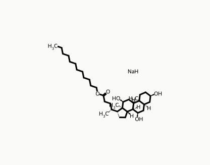 CCCCCCCCCCCCOC(=O)CC[C@@H](C)[C@H]1CC[C@H]2[C@@H]3[C@H](O)C[C@@H]4C[C@H](O)CC[C@]4(C)[C@H]3C[C@H](O)[C@]12C.[NaH]